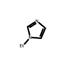 CCn1c[c]nc1